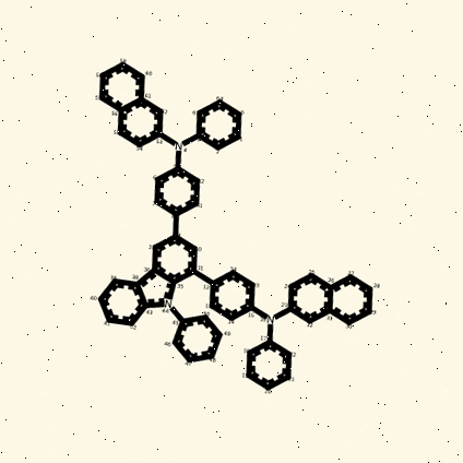 c1ccc(N(c2ccc(-c3cc(-c4ccc(N(c5ccccc5)c5ccc6ccccc6c5)cc4)c4c(c3)c3ccccc3n4-c3ccccc3)cc2)c2ccc3ccccc3c2)cc1